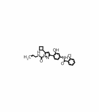 C=CCNC(=O)n1nc(-c2ccc(NC(=O)c3ccccc3Cl)cc2O)cc1C1CCC1